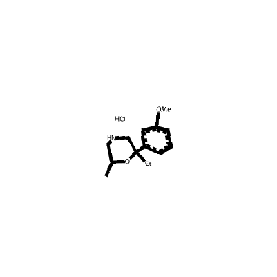 CCC1(c2cccc(OC)c2)CNCC(C)O1.Cl